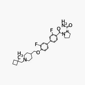 CC1(CN2CCC(COc3ccc(-c4ccc(C(=O)N5CCC[C@H]5C(N)=O)c(F)c4)cc3F)CC2)CCC1